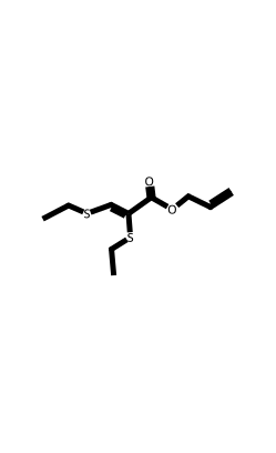 C=CCOC(=O)C(=CSCC)SCC